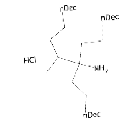 CCCCCCCCCCCCC(C)C(N)(CCCCCCCCCCCC)CCCCCCCCCCCC.Cl